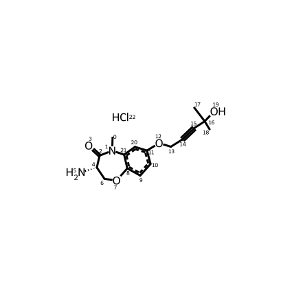 CN1C(=O)[C@@H](N)COc2ccc(OCC#CC(C)(C)O)cc21.Cl